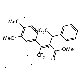 COC(=O)C(=C(c1ccc(OC)c(OC)c1)C(F)(F)F)C(C(=O)O)c1ccccc1